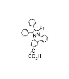 CCc1c(C2=CCCC=C2)c(C2=CCCC=C2)nn1-c1ccccc1-c1cccc(OCC(=O)O)c1